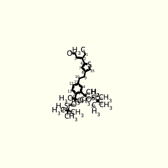 CCC(=CC=O)c1cc(CCc2ccc(C(C)(C)O[SiH2]C(C)(C)C)c(C(C)(C)O[SiH2]C(C)(C)C)c2)cs1